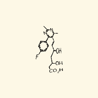 Cc1nc(C)c(C=CC(O)CC(O)CC(=O)O)c(-c2ccc(F)cc2)n1